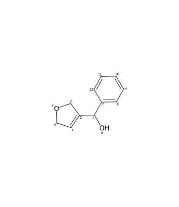 OC(C1=CCOC1)c1ccccc1